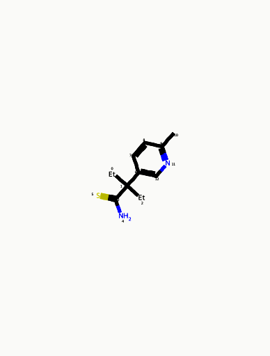 CCC(CC)(C(N)=S)c1ccc(C)nc1